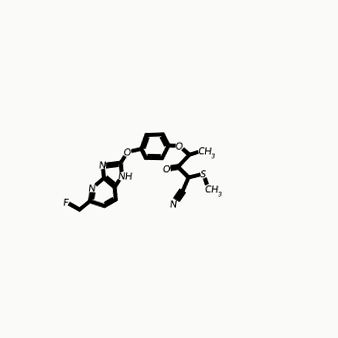 CSC(C#N)C(=O)C(C)Oc1ccc(Oc2nc3nc(CF)ccc3[nH]2)cc1